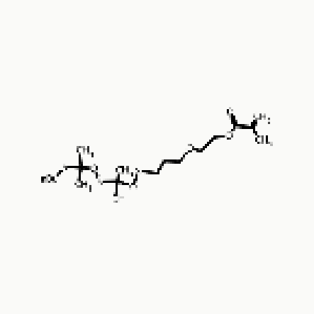 C=C(C)C(=O)OCCOCCCSOC(C)(C)SOC(C)(C)SCCCC